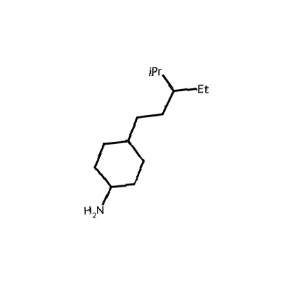 CCC(CCC1CCC(N)CC1)C(C)C